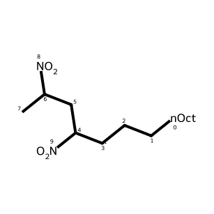 CCCCCCCCCC[CH]C(CC(C)[N+](=O)[O-])[N+](=O)[O-]